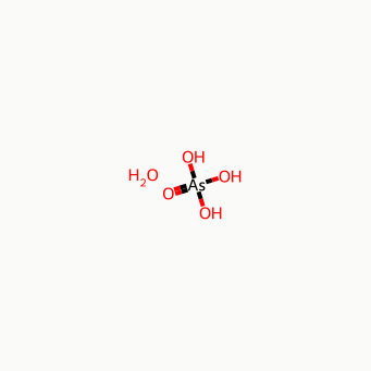 O.O=[As](O)(O)O